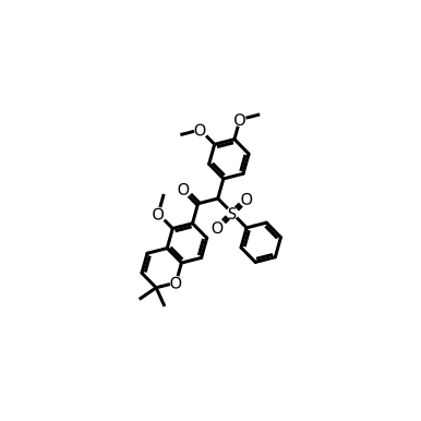 COc1ccc(C(C(=O)c2ccc3c(c2OC)C=CC(C)(C)O3)S(=O)(=O)c2ccccc2)cc1OC